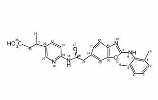 Cc1cccc(C)c1Nc1nc2ccc(CC(=O)Nc3ccc(C(C)CC(=O)O)cn3)cc2o1